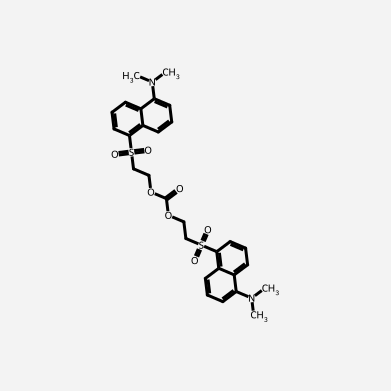 CN(C)c1cccc2c(S(=O)(=O)CCOC(=O)OCCS(=O)(=O)c3cccc4c(N(C)C)cccc34)cccc12